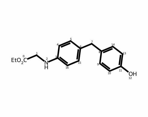 CCOC(=O)CNc1ccc(Cc2ccc(O)cc2)cc1